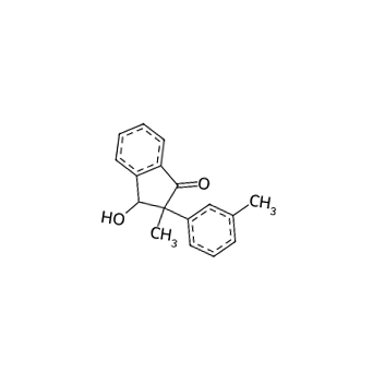 Cc1cccc(C2(C)C(=O)c3ccccc3C2O)c1